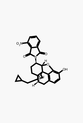 O=C1c2cccc([N+](=O)[O-])c2C(=O)N1[C@@H]1CCC2(O)[C@H]3Cc4ccc(O)c5c4[C@@]2(CCN3CC2CC2)[C@H]1O5